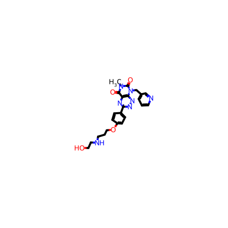 Cn1c(=O)c2nc(-c3ccc(OCCCNCCO)cc3)nnc2n(Cc2cccnc2)c1=O